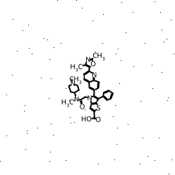 Cc1nc(C)c(-c2ccc3cc(-c4c(-c5ccccc5)c5sc(C(=O)O)cc5n4CC(=O)N(C)C4CCN(C)CC4)ccc3n2)o1